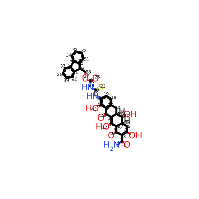 NC(=O)C1=C(O)C[C@H]2C(C1=O)C(O)=C1C(=O)c3c(ccc(NC(=S)NC(=O)OCC4c5ccccc5-c5ccccc54)c3O)C[C@H]1[C@@H]2O